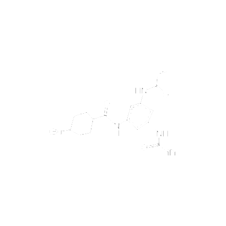 CC(C)C(=O)Nc1cc(NC(=O)C(C)C)cc(NC(=O)C2CCC(C(C)(C)C)CC2)c1